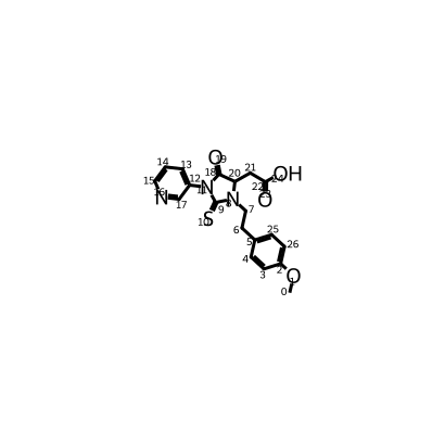 COc1ccc(CCN2C(=S)N(c3cccnc3)C(=O)C2CC(=O)O)cc1